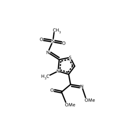 CON=C(C(=O)OC)c1csc(=NS(C)(=O)=O)n1C